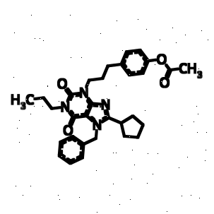 CCCn1c(=O)c2c(nc(C3CCCC3)n2Cc2ccccc2)n(CCCc2ccc(OC(C)=O)cc2)c1=O